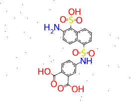 Nc1ccc2c(S(=O)(=O)Nc3ccc(C(=O)O)c(C(=O)O)c3)cccc2c1S(=O)(=O)O